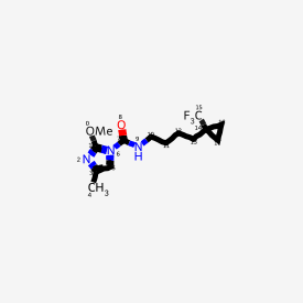 COc1nc(C)cn1C(=O)NCCCCC1(C(F)(F)F)CC1